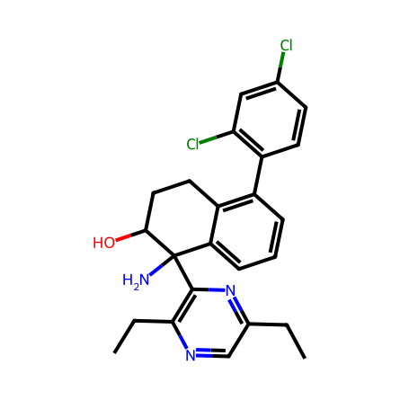 CCc1cnc(CC)c(C2(N)c3cccc(-c4ccc(Cl)cc4Cl)c3CCC2O)n1